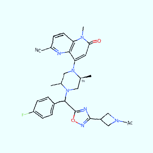 CC(=O)N1CC(c2noc(C(c3ccc(F)cc3)N3C[C@H](C)N(c4cc(=O)n(C)c5ccc(C#N)nc45)CC3C)n2)C1